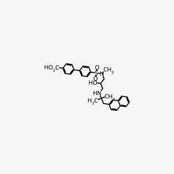 CN(CC(O)CNC(C)(C)Cc1ccc2ccccc2c1)S(=O)(=O)c1ccc(-c2ccc(C(=O)O)cc2)cc1